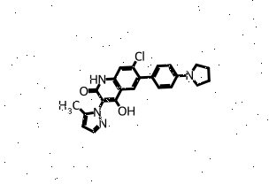 Cc1ccnn1-c1c(O)c2cc(-c3ccc(N4CCCC4)cc3)c(Cl)cc2[nH]c1=O